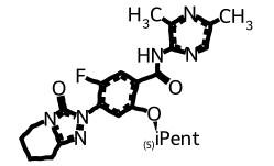 CCC[C@H](C)Oc1cc(-n2nc3n(c2=O)CCCC3)c(F)cc1C(=O)Nc1ncc(C)nc1C